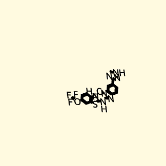 Cn1c(Nc2nc3ccc(OC(F)(F)F)cc3s2)nc2ccc(-c3nc[nH]n3)cc21